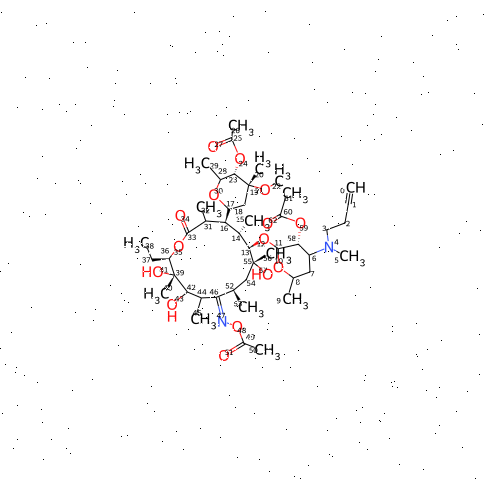 C#CCCN(C)C1CC(C)OC(O[C@@H]2[C@@H](C)[C@H](C3C[C@@](C)(OC)[C@@H](OC(C)=O)C(C)O3)C(C)C(=O)O[C@H](CC)[C@@](C)(O)C(O)C(C)/C(=N/OC(C)=O)[C@H](C)C[C@@]2(C)O)[C@@H]1OC(C)=O